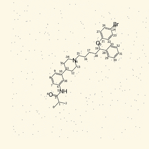 CC(C)C(=O)Nc1cccc(C2CCN(CCCCC(Oc3ccc(Br)cc3)c3ccccc3)CC2)c1